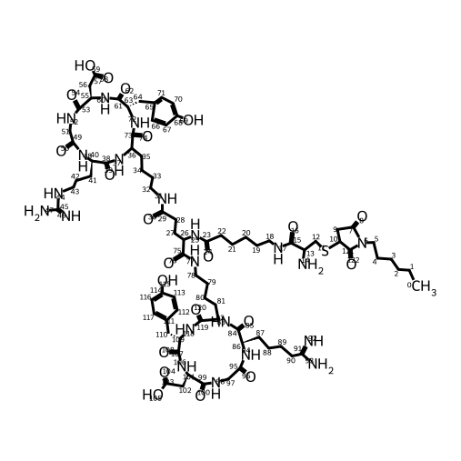 CCCCCCN1C(=O)CC(SCC(N)C(=O)NCCCCCC(=O)NC(CCC(=O)NCCCCC2NC(=O)[C@@H](CCCNC(=N)N)NC(=O)CNC(=O)[C@@H](CC(=O)O)NC(=O)[C@H](Cc3ccc(O)cc3)NC2=O)C(=O)NCCCCC2NC(=O)[C@@H](CCCCC(=N)N)NC(=O)CNC(=O)[C@@H](CC(=O)O)NC(=O)[C@H](Cc3ccc(O)cc3)NC2=O)C1=O